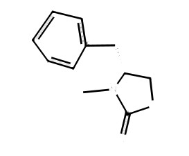 S=C1SC[C@@H](Cc2ccccc2)N1Cl